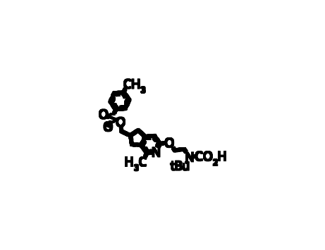 Cc1ccc(S(=O)(=O)OCC2Cc3cc(OCCN(C(=O)O)C(C)(C)C)nc(C)c3C2)cc1